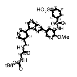 COc1ncc(-c2nn3c(-c4cncc(CNC(=O)CNC(=O)OC(C)(C)C)c4)cnc3s2)cc1NS(=O)(=O)c1cccc(C(=O)O)c1